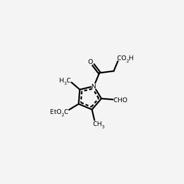 CCOC(=O)c1c(C)c(C=O)n(C(=O)CC(=O)O)c1C